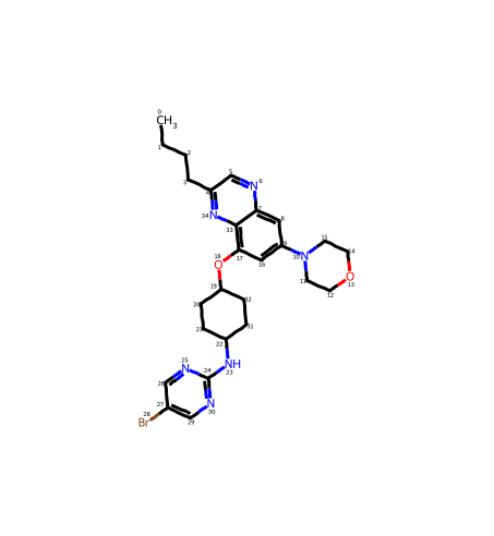 CCCCc1cnc2cc(N3CCOCC3)cc(OC3CCC(Nc4ncc(Br)cn4)CC3)c2n1